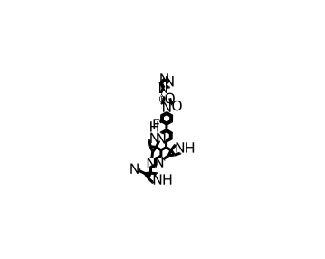 N#CC1C2CNCC12CCCCC(C(c1ccc(-c2ccc(N3C[C@H](Cn4cnnc4)OC3=O)cc2F)cn1)C12CNCC1C2C#N)C12CNCC1C2C#N